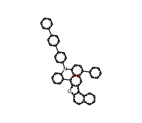 c1ccc(-c2ccc(-c3ccc(N(c4ccc(-c5ccccc5)cc4)c4ccccc4-c4cccc5c4oc4ccc6ccccc6c45)cc3)cc2)cc1